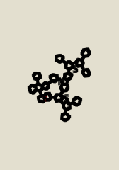 c1ccc(-c2cc(-c3ccccc3)c3sc4c(-c5ccc6c7ccc(-c8cc(-c9ccccc9)cc9c8sc8c(-c%10ccccc%10)cc(-c%10ccccc%10)cc89)cc7n(-c7cccc(-c8ccc9c(-c%10ccccc%10)c%10ccccc%10c(-c%10ccccc%10)c9c8)c7)c6c5)cc(-c5ccccc5)cc4c3c2)cc1